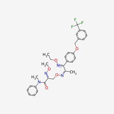 CCO/N=C(/C(C)=NOCC(=NOC)C(=O)N(C)c1ccccc1)c1ccc(OCc2cccc(C(F)(F)F)c2)cc1